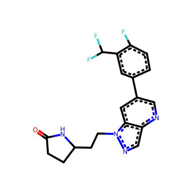 O=C1CCC(CCn2ncc3ncc(-c4ccc(F)c(C(F)F)c4)cc32)N1